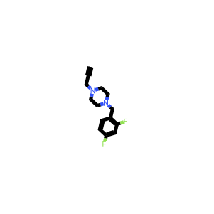 C#CCN1CCN(Cc2ccc(F)cc2F)CC1